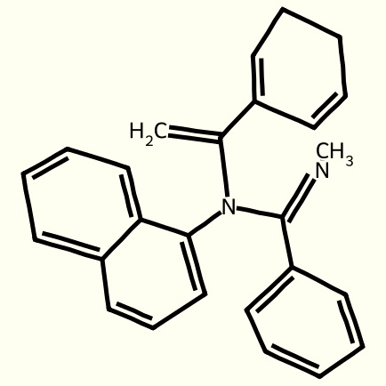 C=C(C1=CCCC=C1)N(/C(=N\C)c1ccccc1)c1cccc2ccccc12